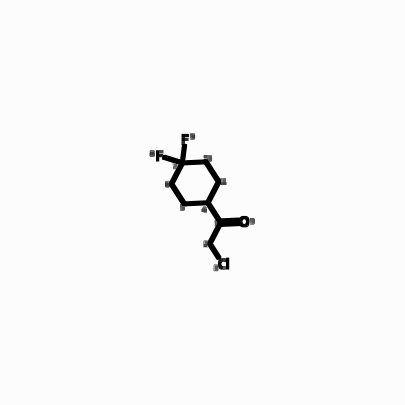 O=C(CCl)C1CCC(F)(F)CC1